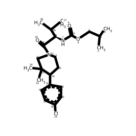 CC(C)COC(=O)N[C@@H](C(=O)N1CCC(c2ccc(Cl)cc2)C(C)(C)C1)C(C)C